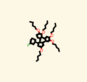 CCCCCOc1cc(-c2cccc(F)c2)c2c(c1)c1cc(OCCCCC)c(OCCCCC)cc1c1c(OCCCCC)c(OCCCCC)ccc21